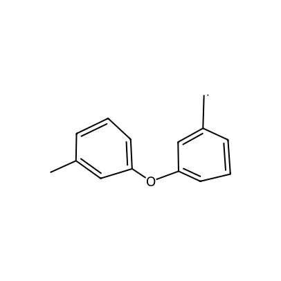 [CH2]c1cccc(Oc2cccc(C)c2)c1